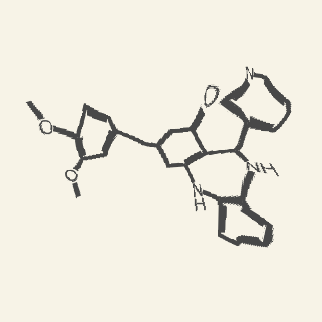 COc1ccc(C2CC(=O)C3=C(C2)Nc2ccccc2NC3c2cccnc2)cc1OC